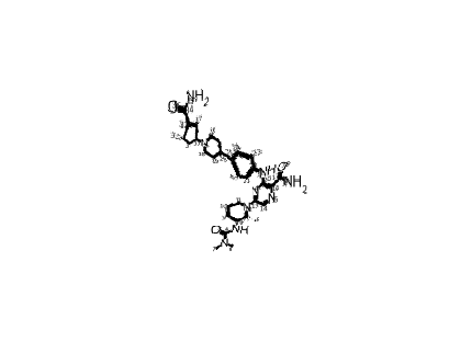 C[C@@H]1[C@H](NC(=O)N(C)C)CCCN1c1cnc(C(N)=O)c(Nc2ccc(C3CCN(C4CCC(C(N)=O)C4)CC3)cc2)n1